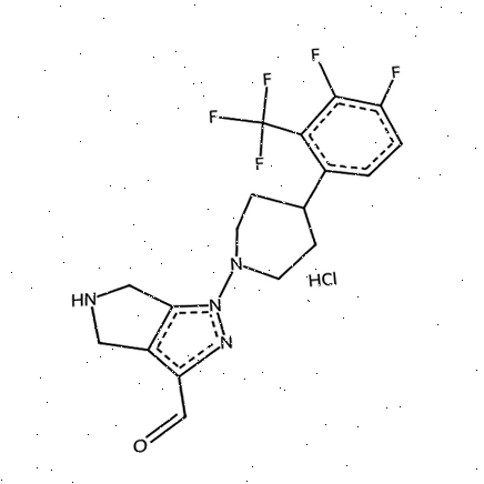 Cl.O=Cc1nn(N2CCC(c3ccc(F)c(F)c3C(F)(F)F)CC2)c2c1CNC2